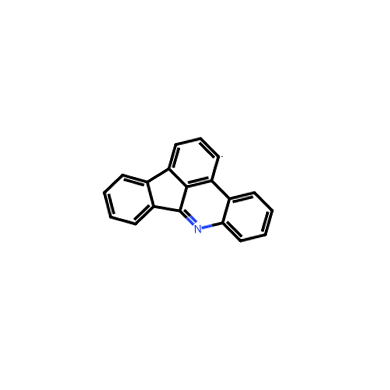 [c]1ccc2c3c(nc4ccccc4c13)-c1ccccc1-2